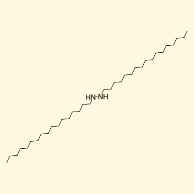 CCCCCCCCCCCCCCCCCNNCCCCCCCCCCCCCCCCC